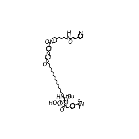 Cc1ncsc1-c1ccc(CNC(=O)[C@@H]2C[C@@H](O)CN2C(=O)[C@@H](NCCCCCCCCCCCCCCCC(=O)N2CCN(c3ccc(C(=O)N4CCC(CCCCNC(=O)/C=C/c5cccnc5)CC4)cc3)CC2)C(C)(C)C)cc1